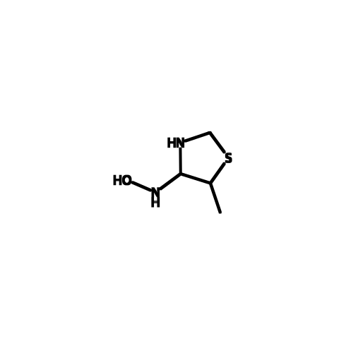 CC1SCNC1NO